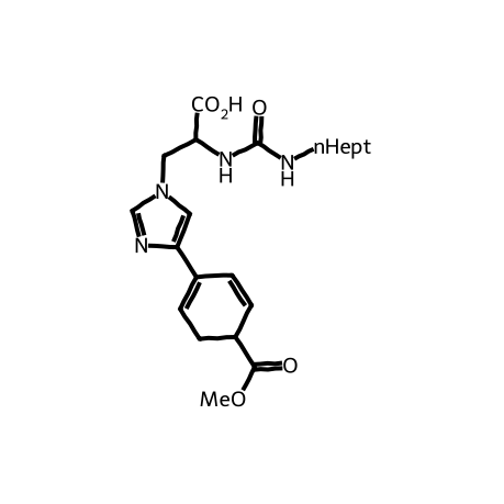 CCCCCCCNC(=O)NC(Cn1cnc(C2=CCC(C(=O)OC)C=C2)c1)C(=O)O